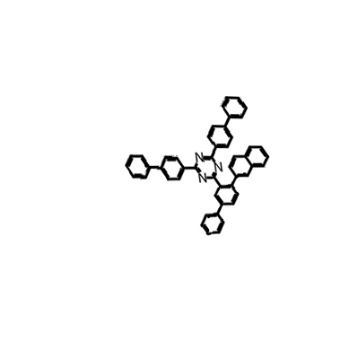 c1ccc(-c2ccc(-c3nc(-c4ccc(-c5ccccc5)cc4)nc(-c4cc(-c5ccccc5)ccc4-c4ccc5ccccc5c4)n3)cc2)cc1